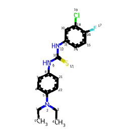 CCN(CC)c1ccc(NC(=S)Nc2ccc(F)c(Cl)c2)cc1